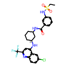 CCS(=O)(=O)Nc1cccc(C(=O)NC2CCC[C@H](Nc3cc(C(F)(F)F)nc4ccc(Cl)cc34)C2)c1